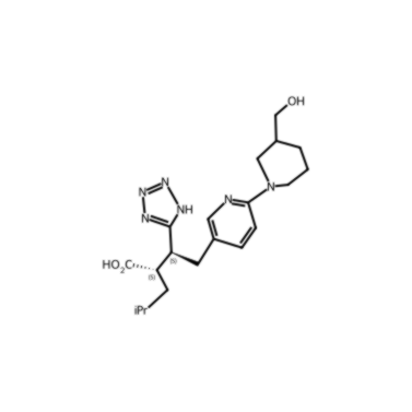 CC(C)C[C@H](C(=O)O)[C@H](Cc1ccc(N2CCCC(CO)C2)nc1)c1nnn[nH]1